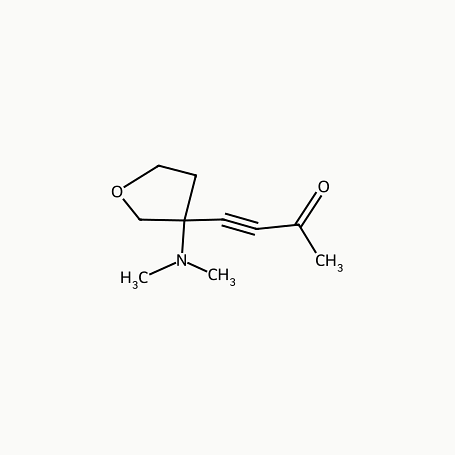 CC(=O)C#CC1(N(C)C)CCOC1